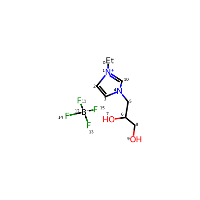 CC[n+]1ccn(CC(O)CO)c1.F[B-](F)(F)F